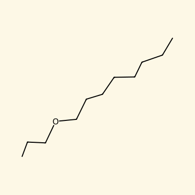 CCCCCCCCOCCC